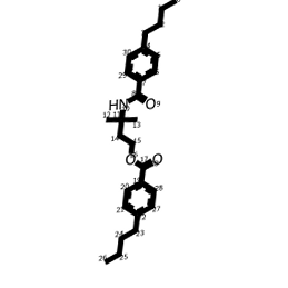 CCCCc1ccc(C(=O)NC(C)(C)CCOC(=O)c2ccc(CCCC)cc2)cc1